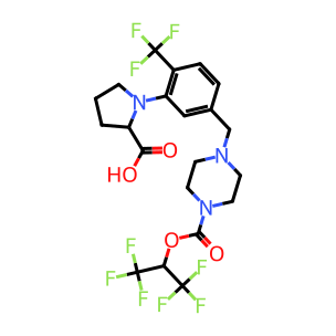 O=C(O)C1CCCN1c1cc(CN2CCN(C(=O)OC(C(F)(F)F)C(F)(F)F)CC2)ccc1C(F)(F)F